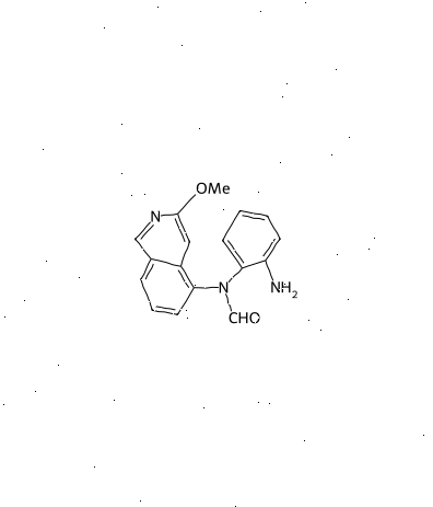 COc1cc2c(N(C=O)c3ccccc3N)cccc2cn1